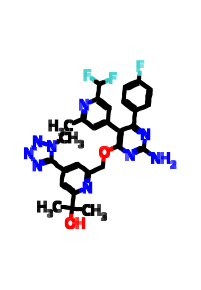 Cc1cc(-c2c(OCc3cc(-c4nnnn4C)cc(C(C)(C)O)n3)nc(N)nc2-c2ccc(F)cc2)cc(C(F)F)n1